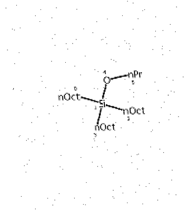 CCCCCCCC[Si](CCCCCCCC)(CCCCCCCC)OCCC